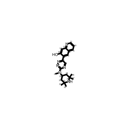 CN(c1ncc(-c2cc3cccnc3cc2O)nn1)C1CC(C)(C)NC(C)(C)C1